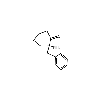 NC1(Cc2ccccc2)CCCCC1=O